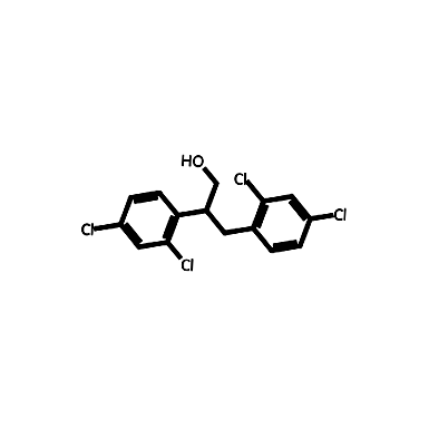 OCC(Cc1ccc(Cl)cc1Cl)c1ccc(Cl)cc1Cl